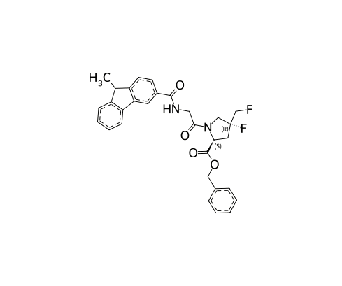 CC1c2ccccc2-c2cc(C(=O)NCC(=O)N3C[C@@](F)(CF)C[C@H]3C(=O)OCc3ccccc3)ccc21